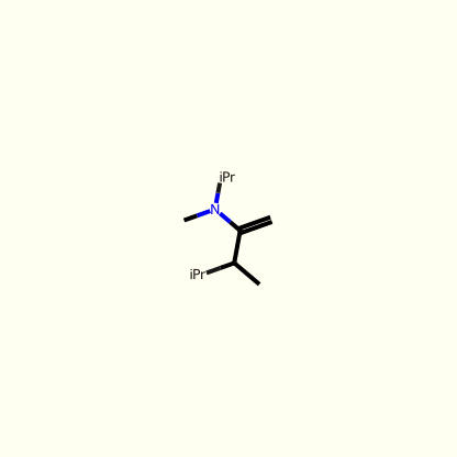 C=C(C(C)C(C)C)N(C)C(C)C